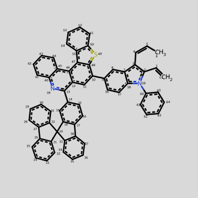 C=Cc1c(/C=C\C)c2cc(-c3cc4c(-c5ccc6c(c5)C5(c7ccccc7-c7ccccc75)c5ccccc5-6)nc5ccccc5c4c4c3sc3ccccc34)ccc2n1-c1ccccc1